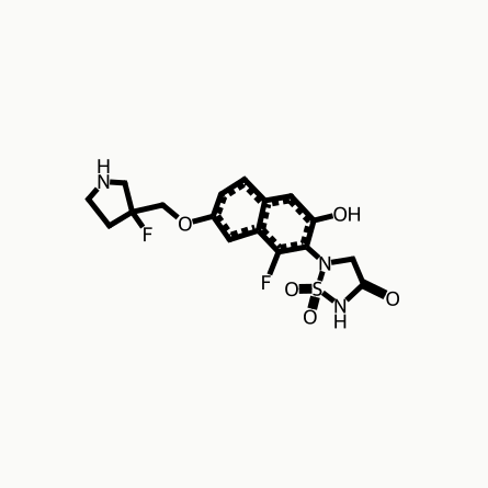 O=C1CN(c2c(O)cc3ccc(OCC4(F)CCNC4)cc3c2F)S(=O)(=O)N1